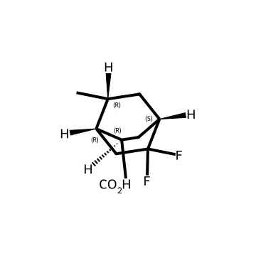 C[C@@H]1C[C@H]2C[C@@H](C(=O)O)[C@@H]1CC2(F)F